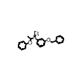 CCN(c1cccc(OCc2ccccc2)c1)C(C)Oc1ccccc1